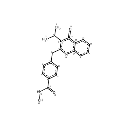 CC(C)n1c(Cc2ccc(C(=O)NO)cc2)nc2ccccc2c1=O